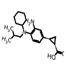 CC(C)CN(c1ccc([C@H]2C[C@H]2C(=O)O)cc1N)C1CCCCC1